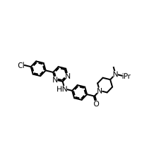 CC(C)N(C)C1CCN(C(=O)c2ccc(Nc3nccc(-c4ccc(Cl)cc4)n3)cc2)CC1